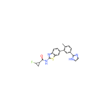 Cc1ccc(-c2ncc[nH]2)cc1-c1ccc2nc(NC(=O)C3CC3F)sc2c1